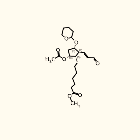 COC(=O)CCCCCC[C@H]1[C@H](C=CC=O)[C@@H](OC2CCCCO2)C[C@H]1OC(C)=O